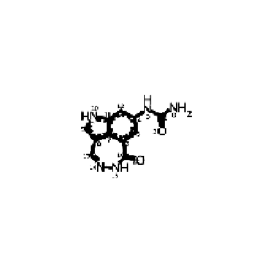 NC(=O)Nc1cc2c3c(c[nH]c3c1)C=NNC2=O